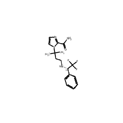 CC(C)(CCN[C@@H](c1ccccc1)C(F)(F)F)n1c[c]nc1C(N)=O